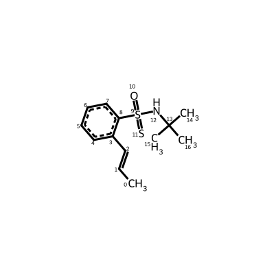 CC=Cc1ccccc1S(=O)(=S)NC(C)(C)C